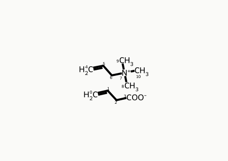 C=CCC(=O)[O-].C=CC[N+](C)(C)C